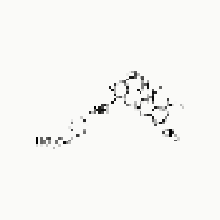 Cn1nnc(N(Cc2cc(C(F)(F)F)cc(C(F)(F)F)c2)Cc2cc(C(F)(F)F)cnc2CCNC[C@H]2CC[C@H](CC(=O)O)CC2)n1